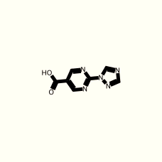 O=C(O)c1cnc(-n2cncn2)nc1